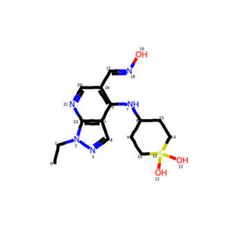 CCn1ncc2c(NC3CCS(O)(O)CC3)c(C=NO)cnc21